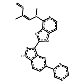 C=N/C(C)=C\N(C)c1nccc2[nH]c(-c3n[nH]c4ccc(-c5cnccn5)nc34)nc12